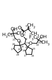 C=C(C)C(=O)OCC(C1(OCC(C)(O)C(F)(F)F)CCCC1)C1(OCC(C)(O)C(F)(F)F)CCCC1